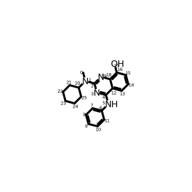 CN(c1nc(Nc2ccccc2)c2cccc(O)c2n1)C1CCCCC1